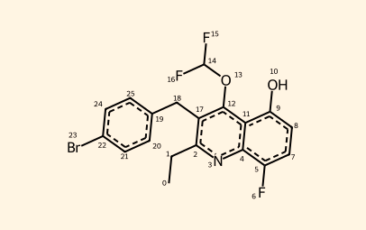 CCc1nc2c(F)ccc(O)c2c(OC(F)F)c1Cc1ccc(Br)cc1